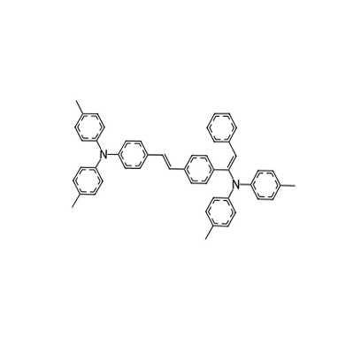 Cc1ccc(N(C(=Cc2ccccc2)c2ccc(C=Cc3ccc(N(c4ccc(C)cc4)c4ccc(C)cc4)cc3)cc2)c2ccc(C)cc2)cc1